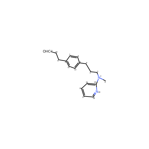 CN(CCCc1ccc(CCC=O)cc1)c1ccccn1